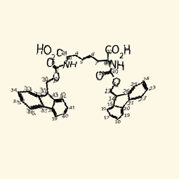 O=C(N[C@@H](CC=CC[C@H](NC(=O)OCC1c2ccccc2-c2ccccc21)C(=O)O)C(=O)O)OCC1c2ccccc2-c2ccccc21